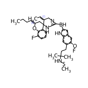 C/C=C1/CN2C(Bc3cc4cc(OF)c(CCC(C)(C)NSC)cc4[nH]3)=C2NC12C/C(=C/CCC)Oc1c(F)cccc12